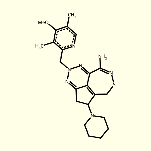 COc1c(C)cnc(CN2N=C3CC(N4CCCCC4)C4=C3C(=N2)C(N)=NSC4)c1C